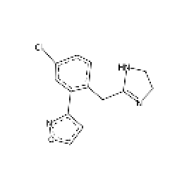 Clc1ccc(CC2=NCCN2)c(-c2ccon2)c1